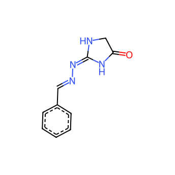 O=C1CNC(=NN=Cc2ccccc2)N1